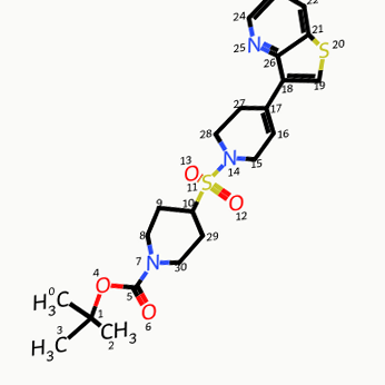 CC(C)(C)OC(=O)N1CCC(S(=O)(=O)N2CC=C(c3csc4cccnc34)CC2)CC1